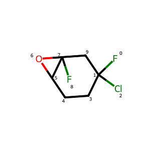 FC1(Cl)CCC2OC2(F)C1